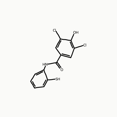 O=C(Nc1ccccc1S)c1cc(Cl)c(O)c(Cl)c1